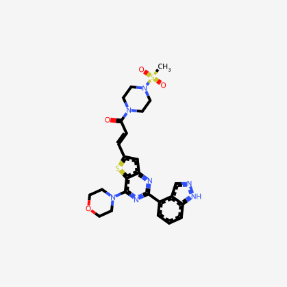 CS(=O)(=O)N1CCN(C(=O)/C=C/c2cc3nc(-c4cccc5[nH]ncc45)nc(N4CCOCC4)c3s2)CC1